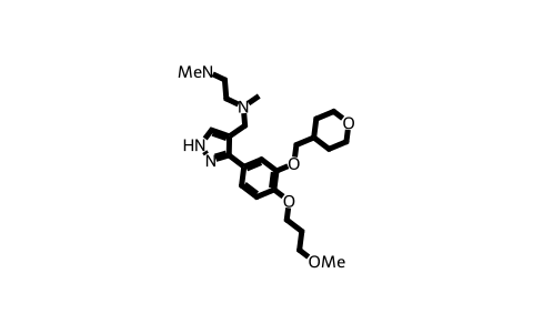 CNCCN(C)Cc1c[nH]nc1-c1ccc(OCCCOC)c(OCC2CCOCC2)c1